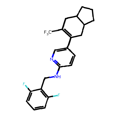 Fc1cccc(F)c1CNc1ccc(C2=C(C(F)(F)F)CC3CCCC3C2)cn1